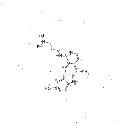 CCN(CC)CCCNc1nccc2c(C)c3[nH]c4ccc(O)cc4c3cc12